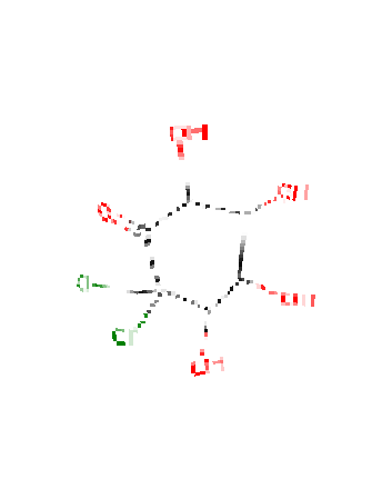 O=C1C(O)C(O)C(O)C(O)C1(Cl)Cl